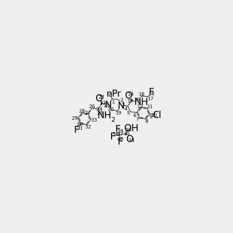 CCCC1CN(C(Cc2ccc(Cl)cc2)C(=O)NCCF)CCN1C(=O)C(N)Cc1ccc(F)cc1.O=C(O)C(F)(F)F